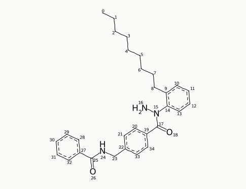 CCCCCCCCCc1ccccc1N(N)C(=O)c1ccc(CNC(=O)c2ccccc2)cc1